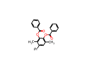 Cc1cc(C(C)C)c(C)c(OC(=O)c2ccccc2)c1OC(=O)c1ccccc1